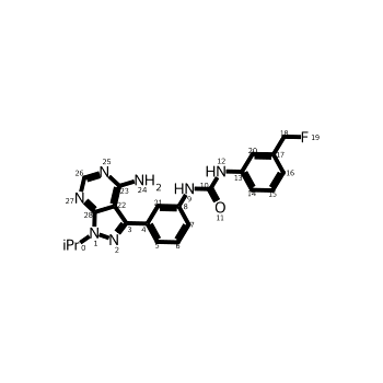 CC(C)n1nc(-c2cccc(NC(=O)Nc3cccc(CF)c3)c2)c2c(N)ncnc21